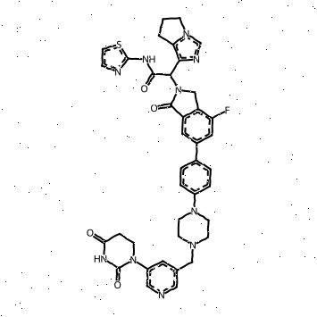 O=C1CCN(c2cncc(CN3CCN(c4ccc(-c5cc(F)c6c(c5)C(=O)N(C(C(=O)Nc5nccs5)c5ncn7c5CCC7)C6)cc4)CC3)c2)C(=O)N1